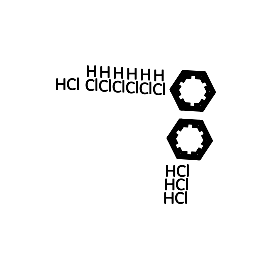 Cl.Cl.Cl.Cl.Cl.Cl.Cl.Cl.Cl.Cl.c1ccccc1.c1ccccc1